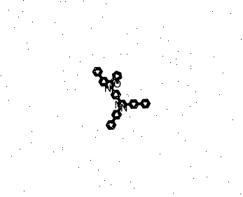 c1ccc(-c2ccc(-c3cc(-c4ccc(-c5nc6ccc(-c7ccccc7)cc6c6c5oc5ccccc56)cc4)nc(-c4ccc(-c5ccccc5)cc4)n3)cc2)cc1